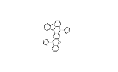 c1csc(B2c3ccccc3Oc3cc4c(cc32)-n2c3ccccc3c3cccc(c32)B4c2cccs2)c1